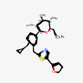 CC(=O)OC[C@H]1O[C@@H](c2ccc(C3CC3)c(Cc3ncc(C4=CCCO4)s3)c2)[C@H](OC(C)=O)[C@@H](OC(C)=O)[C@@H]1OC(C)=O